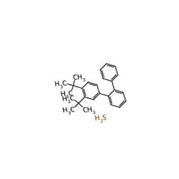 CC(C)(C)c1ccc(-c2ccccc2-c2ccccc2)cc1C(C)(C)C.S